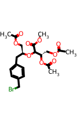 COC(=O)C(O[C@H](COC(C)=O)Cc1ccc(CBr)cc1)[C@H](COC(C)=O)OC(C)=O